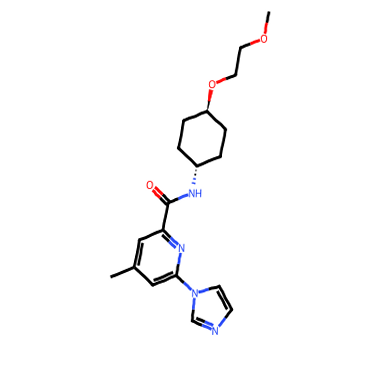 COCCO[C@H]1CC[C@H](NC(=O)c2cc(C)cc(-n3ccnc3)n2)CC1